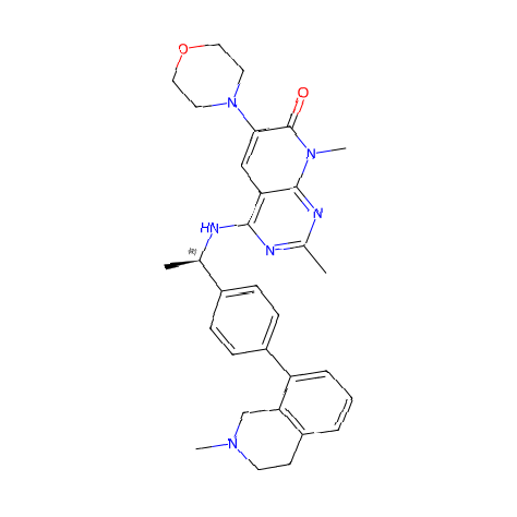 Cc1nc(N[C@H](C)c2ccc(-c3cccc4c3CN(C)CC4)cc2)c2cc(N3CCOCC3)c(=O)n(C)c2n1